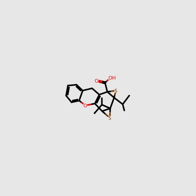 CC(C)C12SC1C1=C(Cc3ccccc3O1)C1(C(=O)O)SC12C(C)C